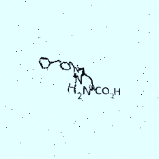 N[C@@H](Cc1cn(COCC2C=CC=CC2)cn1)C(=O)O